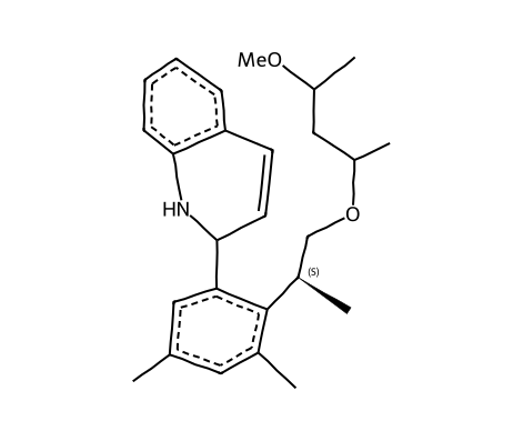 COC(C)CC(C)OC[C@@H](C)c1c(C)cc(C)cc1C1C=Cc2ccccc2N1